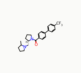 CC1CCCN1C[C@@H]1CCCN1C(=O)c1ccc(-c2ccc(C(F)(F)F)cc2)cc1